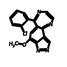 COc1cc2c(-c3ccccc3Cl)nccnc2c2cnnc12